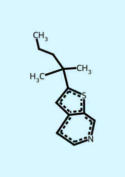 CCCC(C)(C)c1cc2ccncc2s1